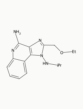 CCOCc1nc2c(N)nc3ccccc3c2n1NC(C)C